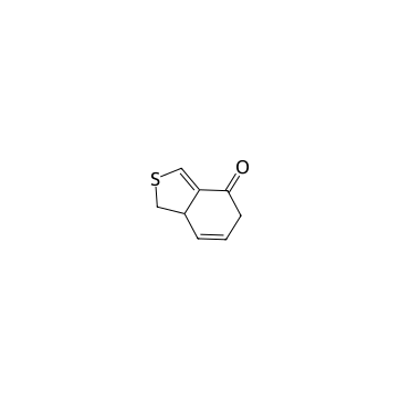 O=C1CC=CC2CSC=C12